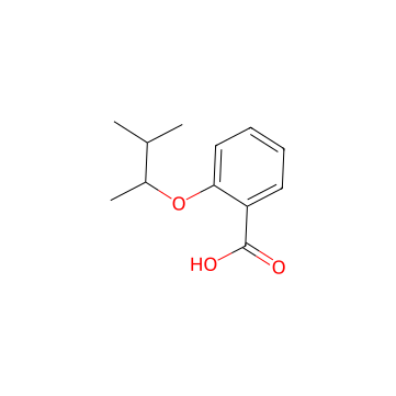 CC(C)C(C)Oc1ccccc1C(=O)O